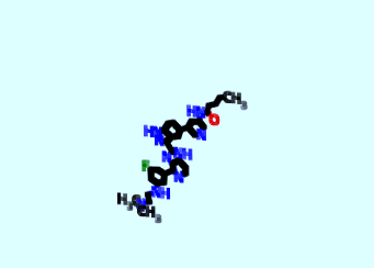 CCCCC(=O)Nc1cncc(-c2ccc3[nH]nc(-c4nc5c(-c6cc(F)cc(NCCN(C)C)c6)nccc5[nH]4)c3c2)c1